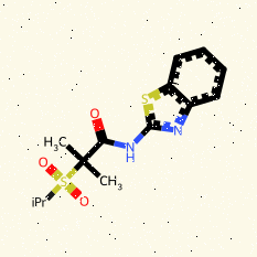 CC(C)S(=O)(=O)C(C)(C)C(=O)Nc1nc2ccccc2s1